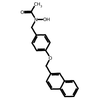 CC(=O)N(O)Cc1ccc(OCc2ccc3ccccc3c2)cc1